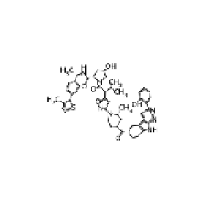 Cc1ncsc1-c1ccc([C@H](C)NC(=O)[C@@H]2C[C@@H](O)CN2C(=O)[C@H](c2cc(N3CCC(C(=O)[C@@H]4CCc5[nH]c6nnc(-c7ccccc7O)cc6c5C4)C[C@H]3C)no2)C(C)C)cc1